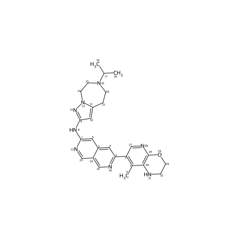 Cc1c(-c2cc3cc(Nc4cc5n(n4)CCN(C(C)C)CC5)ncc3cn2)cnc2c1NCCO2